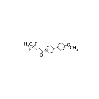 COc1ccc(C2CCN(C(=O)CCC(C)(F)F)CC2)cc1